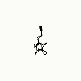 C#CCSc1nn(C)c(=O)n1C